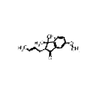 CC=CC[C@@H]1C(=O)c2cc(OC)ccc2C1(C)C